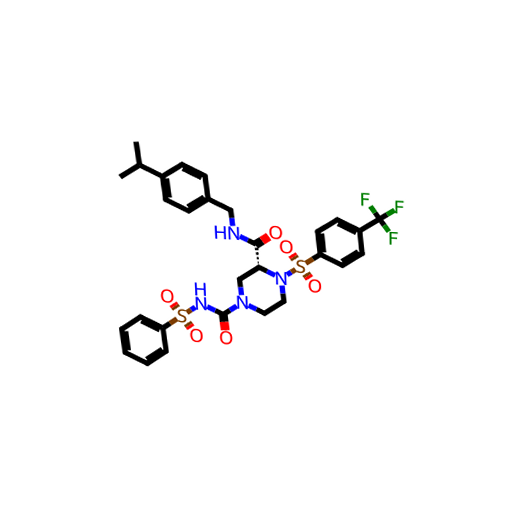 CC(C)c1ccc(CNC(=O)[C@H]2CN(C(=O)NS(=O)(=O)c3ccccc3)CCN2S(=O)(=O)c2ccc(C(F)(F)F)cc2)cc1